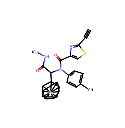 C#Cc1nc(C(=O)N(c2ccc(C#N)cc2)C(C(=O)NC(C)(C)C)[C]23[CH]4[CH]5[CH]6[CH]2[Fe]56432789[CH]3[CH]2[CH]7[CH]8[CH]39)cs1